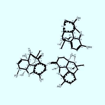 CN1CC[C@]23c4c5ccc(O)c4O[C@H]2C(=O)CC[C@@]3(O)[C@H]1C5.CN1CC[C@]23c4c5ccc(O)c4O[C@H]2[C@@H](O)C=C[C@@]3(O)[C@H]1C5=O.COC1=CC=C2[C@H]3Cc4ccc(O)c5c4[C@@]2(CCN3C)[C@H]1O5